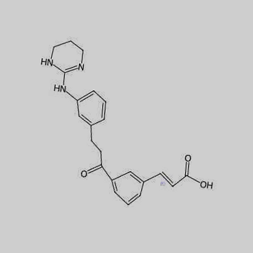 O=C(O)/C=C/c1cccc(C(=O)CCc2cccc(NC3=NCCCN3)c2)c1